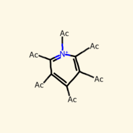 CC(=O)c1c(C(C)=O)c(C(C)=O)[n+](C(C)=O)c(C(C)=O)c1C(C)=O